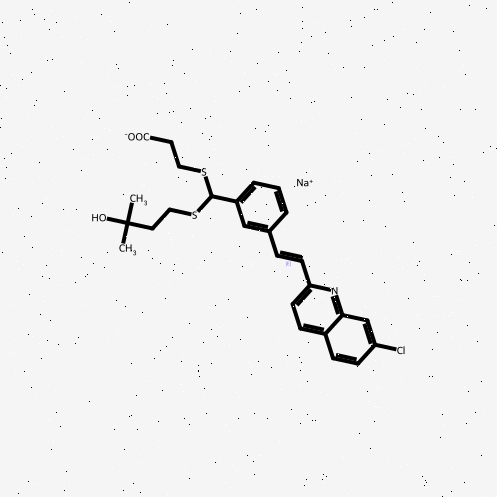 CC(C)(O)CCSC(SCCC(=O)[O-])c1cccc(/C=C/c2ccc3ccc(Cl)cc3n2)c1.[Na+]